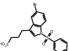 O=C(O)CCCc1cn(S(=O)(=O)c2ccccc2)c2ccc(Br)cc12